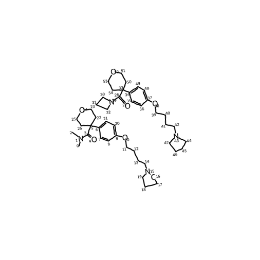 CN(C)C(=O)C1(c2ccc(OCCCCN3CCCC3)cc2)CCOCC1.O=C(N1CCC1)C1(c2ccc(OCCCCN3CCCC3)cc2)CCOCC1